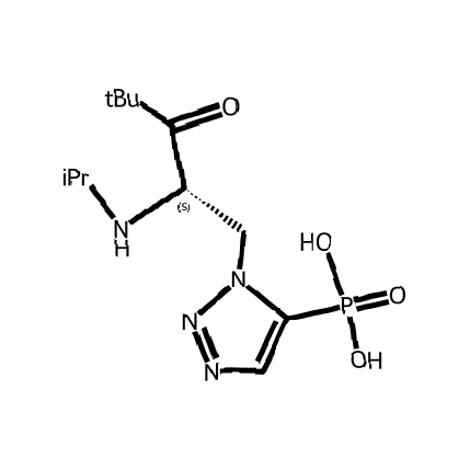 CC(C)N[C@@H](Cn1nncc1P(=O)(O)O)C(=O)C(C)(C)C